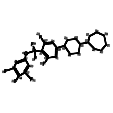 Fc1cc(OC(F)(F)c2c(F)cc(C3CCC(C4CCCCCC4)CC3)cc2F)cc(F)c1F